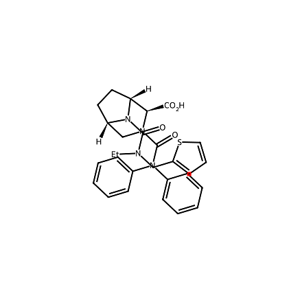 CCN(Cc1cccs1)C(=O)N1[C@H]2CC[C@@H]1[C@@H](C(=O)O)N(C(=O)N(c1ccccc1)c1ccccc1)C2